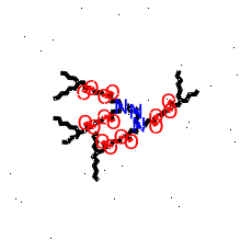 CCCCCCC(CCCC)CC(=O)OCCOC(=O)CCN(CCC(=O)OCCOC(=O)CC(CCCC)CCCCCC)CCN(C)CCN(CCC(=O)OCCOC(=O)CC(CCCC)CCCCCC)CCC(=O)OCCOC(=O)CC(CCCC)CCCCCC